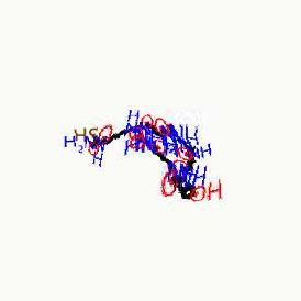 CC(NCCN[C@@H](C)NC(=O)CCCC(=O)N[C@@H](Cc1ccc(O)cc1)C(=O)NCCCCCC(=O)NCC(N)=O)NC(=O)CCCC(=O)NCC(=O)NCCCCCC(=O)N[C@@H](CS)C(N)=O